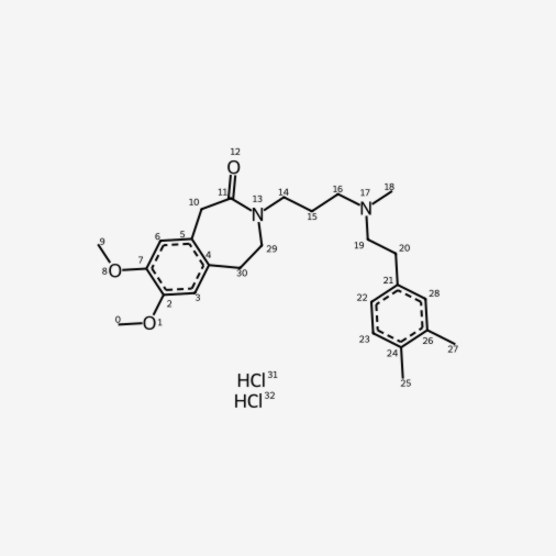 COc1cc2c(cc1OC)CC(=O)N(CCCN(C)CCc1ccc(C)c(C)c1)CC2.Cl.Cl